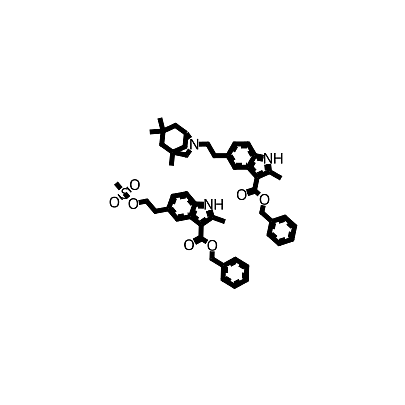 Cc1[nH]c2ccc(CCN3CC4(C)CC3CC(C)(C)C4)cc2c1C(=O)OCc1ccccc1.Cc1[nH]c2ccc(CCOS(C)(=O)=O)cc2c1C(=O)OCc1ccccc1